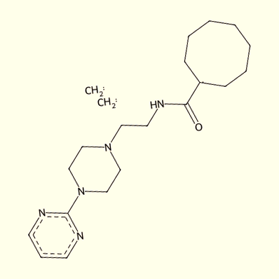 O=C(NCCN1CCN(c2ncccn2)CC1)[C]1CCCCCCC1.[CH2].[CH2]